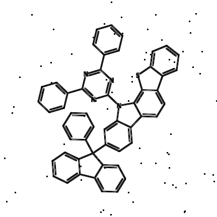 c1ccc(-c2nc(-c3ccccc3)nc(-n3c4cc(C5(c6ccccc6)c6ccccc6-c6ccccc65)ccc4c4ccc5c6ccccc6sc5c43)n2)cc1